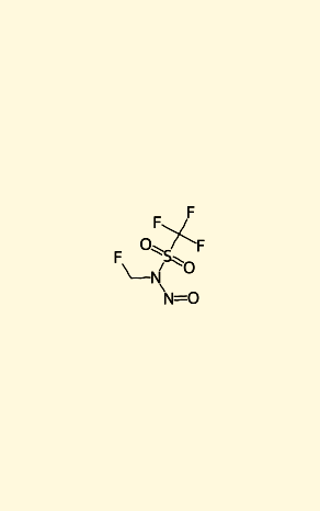 O=NN(CF)S(=O)(=O)C(F)(F)F